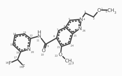 COCCn1cc2cc(C(=O)Nc3cccc(C(F)F)n3)c(OC)cc2n1